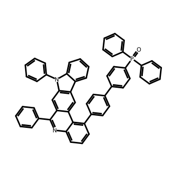 O=P(c1ccccc1)(c1ccccc1)c1ccc(-c2ccc(-c3cccc4nc(-c5ccccc5)c5cc6c(cc5c34)c3ccccc3n6-c3ccccc3)cc2)cc1